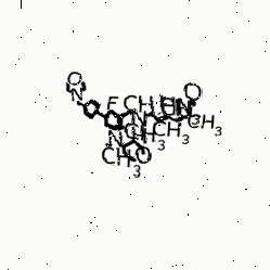 C=C(NC/C(C)=C(C)/C=C(/C)NC=O)c1c(C)c(N(CC)C2CCOCC2)cc(-c2ccc(CN3CCOCC3)cc2)c1F